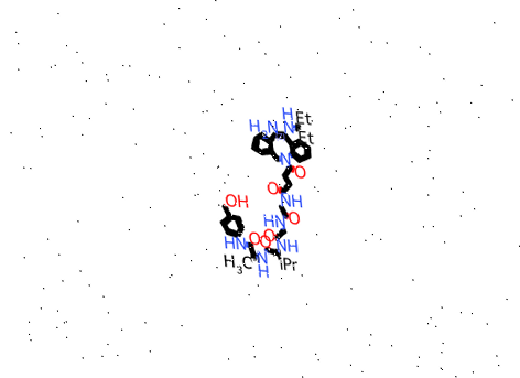 CCC(CC)N/C1=C(\N)c2ccccc2CN(C(=O)CCC(=O)NCC(=O)NCC(=O)N[C@H](C(=O)N[C@@H](C)C(=O)Nc2ccc(CO)cc2)C(C)C)c2ccccc21